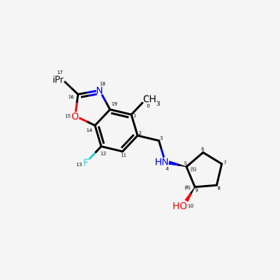 Cc1c(CN[C@H]2CCC[C@H]2O)cc(F)c2oc(C(C)C)nc12